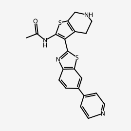 CC(=O)Nc1sc2c(c1-c1nc3ccc(-c4ccncc4)cc3s1)CCNC2